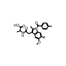 COc1cc2c(CC(=O)NC(C)C(=O)O)c(C)n(C(=O)c3ccc(C)cc3)c2cc1F